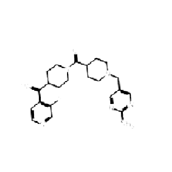 N=C(c1ccncc1F)C1CCN(C(=O)C2CCN(Cc3cnc(N)nc3)CC2)CC1